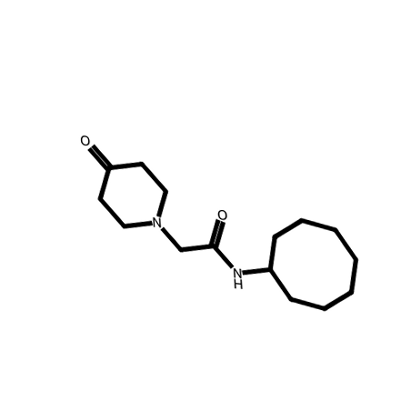 O=C1CCN(CC(=O)NC2CCCCCCC2)CC1